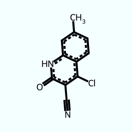 Cc1ccc2c(Cl)c(C#N)c(=O)[nH]c2c1